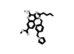 CCCCc1nc2c(N)nc3cc(C(=O)OC)ccc3c2n1Cc1ccc(Cn2cccc2)cc1